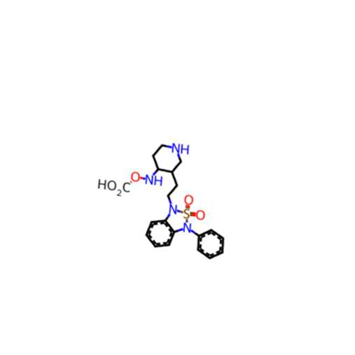 O=C(O)ONC1CCNCC1CCN1c2ccccc2N(c2ccccc2)S1(=O)=O